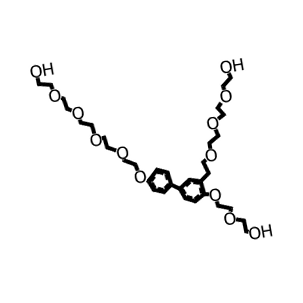 OCCOCCOCCOCCOCCOc1ccc(-c2ccc(OCCOCCO)c(CCOCCOCCOCCO)c2)cc1